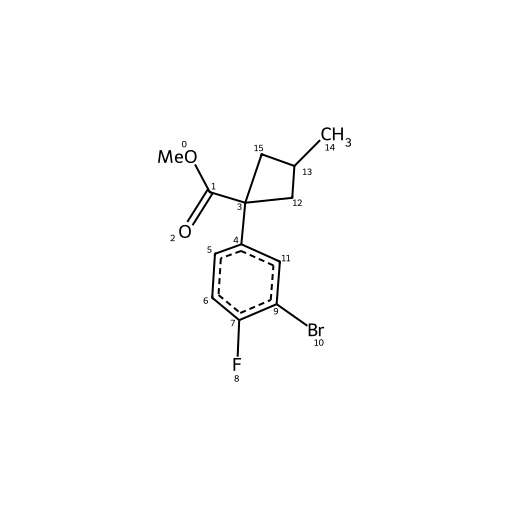 COC(=O)C1(c2ccc(F)c(Br)c2)CC(C)C1